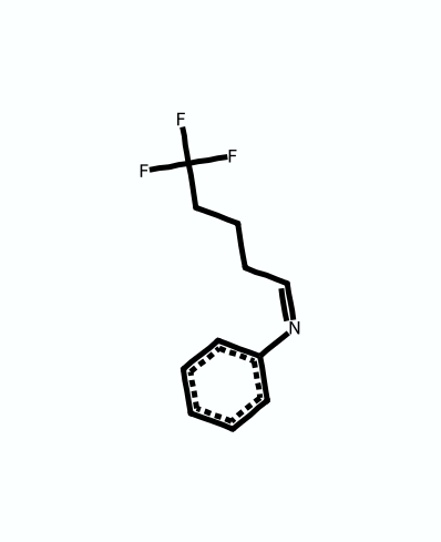 FC(F)(F)CCC/C=N\c1ccccc1